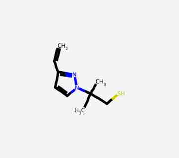 C=Cc1ccn(C(C)(C)CS)n1